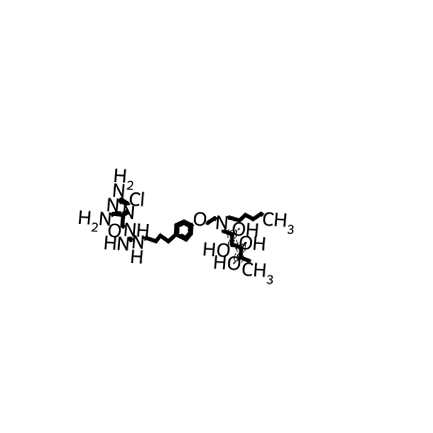 CCCCCCN(CCOc1ccc(CCCCNC(=N)NC(=O)c2nc(Cl)c(N)nc2N)cc1)C[C@H](O)[C@H](O)[C@@H](O)[C@@H](O)CC